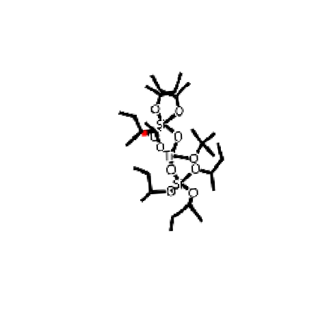 CCC(C)O[Si](OC(C)CC)(OC(C)CC)[O][Ti]([O]C(C)(C)C)([O]C(C)(C)C)[O][Si](OC(C)CC)(OC(C)CC)OC(C)CC